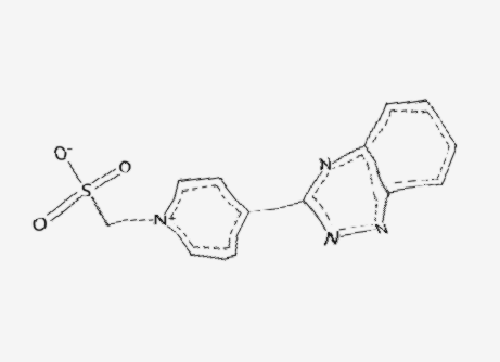 O=S(=O)([O-])C[n+]1ccc(-c2nnc3ccccc3n2)cc1